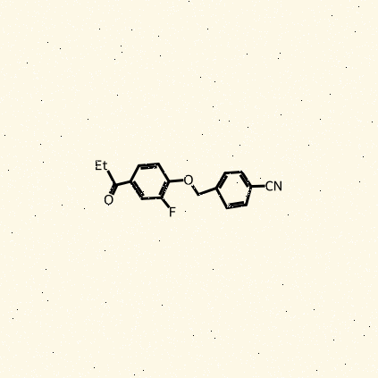 CCC(=O)c1ccc(OCc2ccc(C#N)cc2)c(F)c1